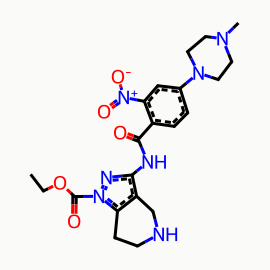 CCOC(=O)n1nc(NC(=O)c2ccc(N3CCN(C)CC3)cc2[N+](=O)[O-])c2c1CCNC2